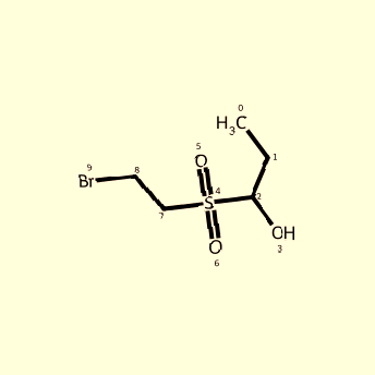 CCC(O)S(=O)(=O)CCBr